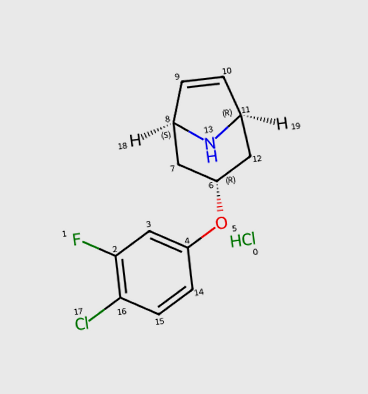 Cl.Fc1cc(O[C@@H]2C[C@H]3C=C[C@@H](C2)N3)ccc1Cl